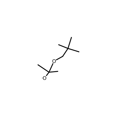 CC(C)(C)COC(C)(C)[O]